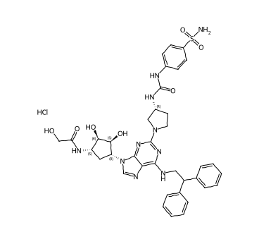 Cl.NS(=O)(=O)c1ccc(NC(=O)N[C@@H]2CCN(c3nc(NCC(c4ccccc4)c4ccccc4)c4ncn([C@@H]5C[C@H](NC(=O)CO)[C@@H](O)[C@H]5O)c4n3)C2)cc1